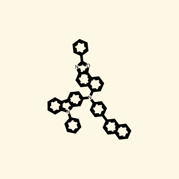 c1ccc(-c2nc3ccc4c(N(c5ccc(-c6ccc7ccccc7c6)cc5)c5ccc6c7ccccc7n(-c7ccccc7)c6c5)cccc4c3o2)cc1